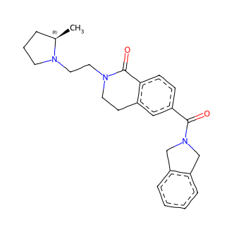 C[C@@H]1CCCN1CCN1CCc2cc(C(=O)N3Cc4ccccc4C3)ccc2C1=O